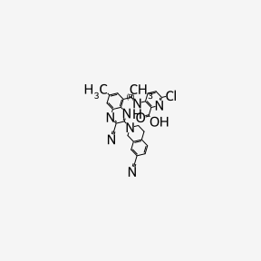 Cc1cc([C@@H](C)Nc2ccc(Cl)nc2C(=O)O)c2nc(N3CCc4ccc(C#N)cc4C3)c(C#N)nc2c1